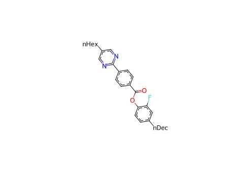 CCCCCCCCCCc1ccc(OC(=O)c2ccc(-c3ncc(CCCCCC)cn3)cc2)c(F)c1